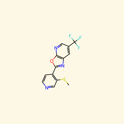 CSc1cnccc1-c1nc2cc(C(F)(F)F)cnc2o1